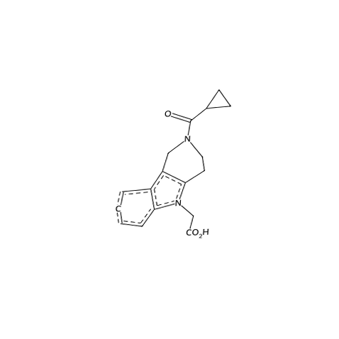 O=C(O)Cn1c2c(c3ccccc31)CN(C(=O)C1CC1)CC2